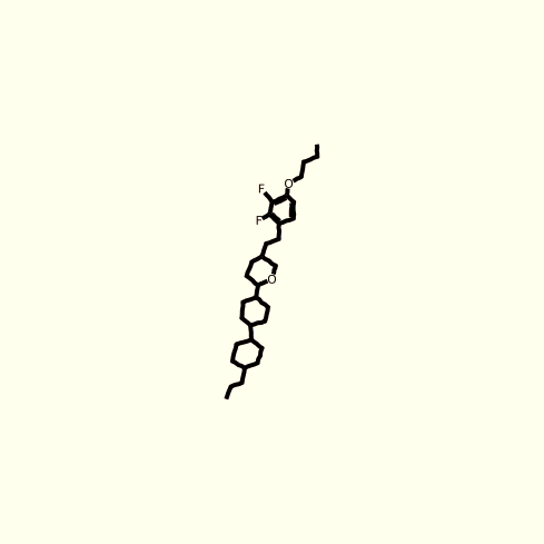 CCCCOc1ccc(CCC2CCC(C3CCC(C4CCC(CCC)CC4)CC3)OC2)c(F)c1F